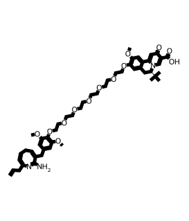 C=CCC1=C=CC/C=C(Cc2cc(OC)c(OCCOCCOCCOCCOCCOCCOc3cc4c(cc3OC)-c3cc(=O)c(C(=O)O)cn3[C@H](C(C)(C)C)C4)c(OC)c2)\C(N)=N/1